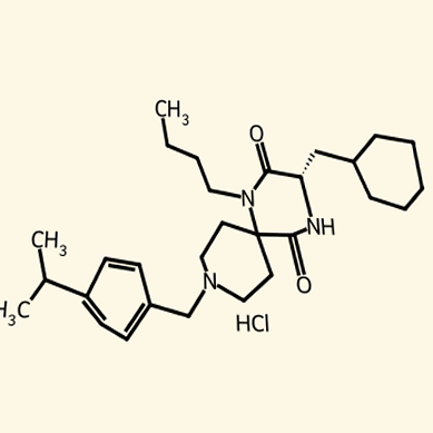 CCCCN1C(=O)[C@H](CC2CCCCC2)NC(=O)C12CCN(Cc1ccc(C(C)C)cc1)CC2.Cl